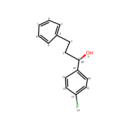 O[C@H](CCc1ccccc1)c1ccc(F)cc1